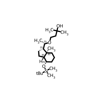 C[C@H](OCCC(C)(C)O)[C@H]1CC[C@H]2[C@@H](O[Si](C)(C)C(C)(C)C)CCC[C@]12C